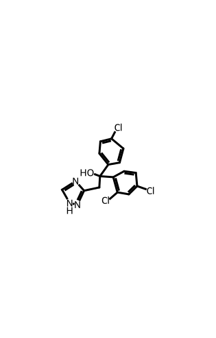 OC(Cc1nc[nH]n1)(c1ccc(Cl)cc1)c1ccc(Cl)cc1Cl